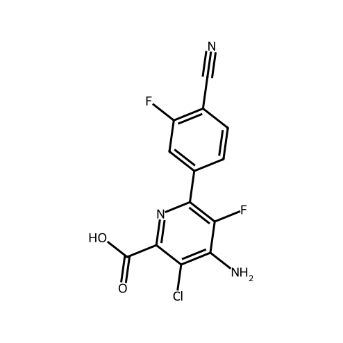 N#Cc1ccc(-c2nc(C(=O)O)c(Cl)c(N)c2F)cc1F